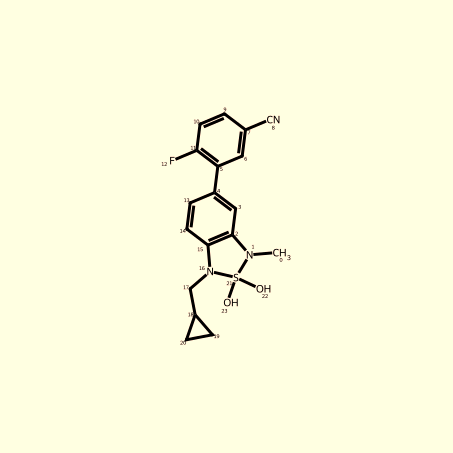 CN1c2cc(-c3cc(C#N)ccc3F)ccc2N(CC2CC2)S1(O)O